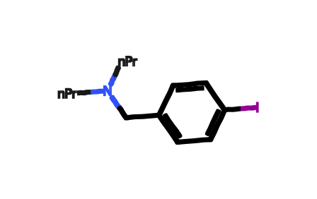 CCCN(CCC)Cc1ccc(I)cc1